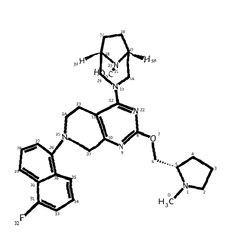 CN1CCC[C@H]1COc1nc2c(c(N3C[C@H]4CC[C@@H](C3)N4C(=O)O)n1)CCN(c1cccc3c(F)cccc13)C2